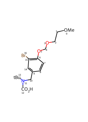 COCCOCOc1ccc(CN(C(=O)O)C(C)(C)C)cc1Br